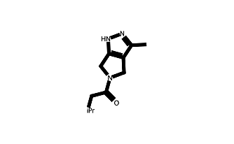 Cc1n[nH]c2c1CN(C(=O)CC(C)C)C2